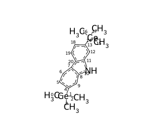 [CH3][Ge]([CH3])([CH3])[c]1ccc2c(c1)[nH]c1c[c]([Ge]([CH3])([CH3])[CH3])ccc12